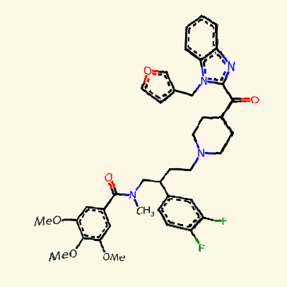 COc1cc(C(=O)N(C)CC(CCN2CCC(C(=O)c3nc4ccccc4n3Cc3ccoc3)CC2)c2ccc(F)c(F)c2)cc(OC)c1OC